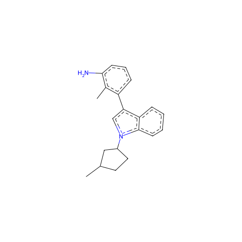 Cc1c(N)cccc1-c1cn(C2CCC(C)C2)c2ccccc12